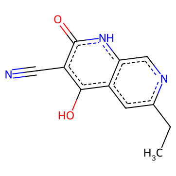 CCc1cc2c(O)c(C#N)c(=O)[nH]c2cn1